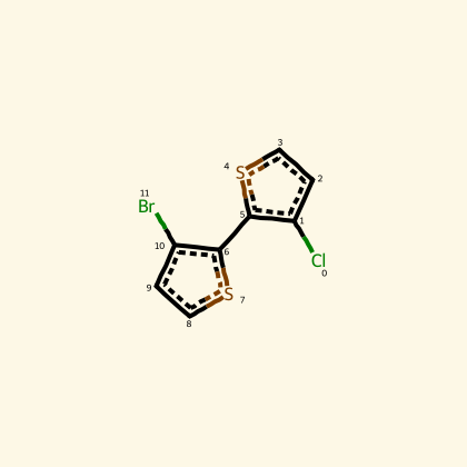 Clc1ccsc1-c1sccc1Br